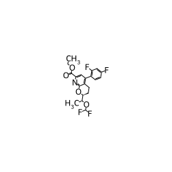 CCOC(=O)c1cc(-c2ccc(F)cc2F)c2c(n1)O[C@H]([C@H](C)OC(F)F)CC2